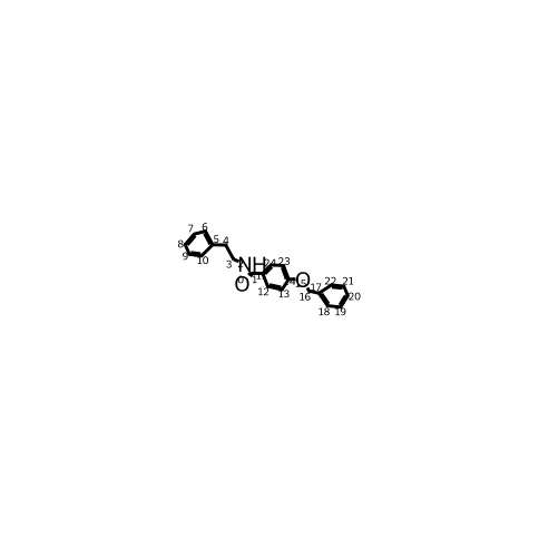 O=C(NCCc1ccccc1)c1ccc(OCc2ccccc2)cc1